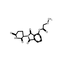 COCC(=O)Oc1cccc2c1C(=O)N(C1CCC(=O)NC1=O)C2=O